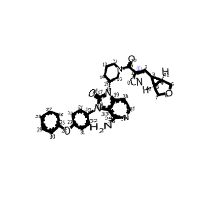 N#C/C(=C\C1[C@H]2COC[C@@H]12)C(=O)N1CCC[C@@H](n2c(=O)n(-c3ccc(Oc4ccccc4)cc3)c3c(N)nccc32)C1